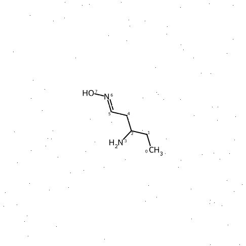 CCC(N)C/C=N/O